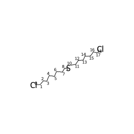 ClCCCCCCCCSCCCCCCCCCl